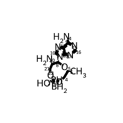 B[PH]1(O)OC[C@H](C)O[C@@H](n2cnc3c(N)ncnc32)[C@@H](N)CO1